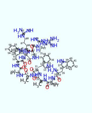 CC(C)[C@H](NC(=O)[C@H](C)NC(=O)[C@H](Cc1c[nH]c2ccccc12)NC(=O)[C@H](C)NC(=O)[C@@H](NC(=O)[C@@H](N)Cc1c[nH]c2ccccc12)C(C)C)C(=O)N[C@@H](Cc1c[nH]c2ccccc12)C(=O)N[C@@H](CCCNC(=N)N)C(=O)N[C@@H](CCCNC(=N)N)C(=O)N[C@@H](CCCNC(=N)N)C(=O)O